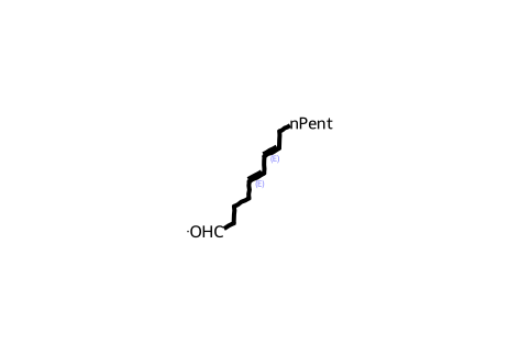 CCCCCC/C=C/C=C/CCC[C]=O